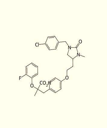 CN1C(=O)N(Cc2ccc(Cl)cc2)CC1CCOc1ccc(CC(C)(Oc2ccccc2F)C(=O)O)cc1